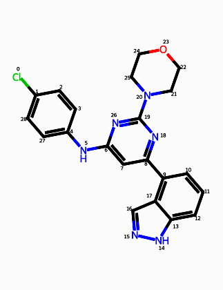 Clc1ccc(Nc2cc(-c3cccc4[nH]ncc34)nc(N3CCOCC3)n2)cc1